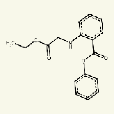 CCOC(=O)CNc1ccccc1C(=O)Oc1ccccc1